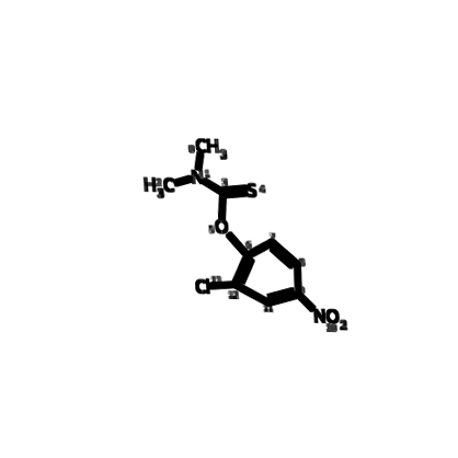 CN(C)C(=S)Oc1ccc([N+](=O)[O-])cc1Cl